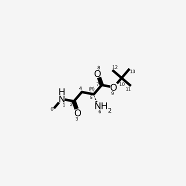 CNC(=O)C[C@@H](N)C(=O)OC(C)(C)C